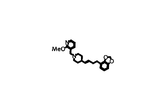 COc1ncccc1CN1CCC(C=CCCc2cccc3c2OCO3)CC1